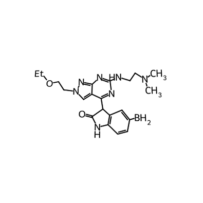 Bc1ccc2c(c1)C(c1nc(NCCN(C)C)nc3nn(CCOCC)cc13)C(=O)N2